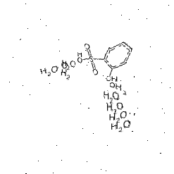 O.O.O.O.O.O.O.O.O=S(=O)(O)c1ccccc1O